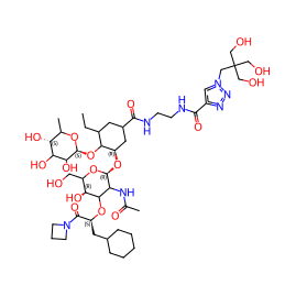 CCC1CC(C(=O)NCCNC(=O)c2cn(CC(CO)(CO)CO)nn2)C[C@@H](O[C@@H]2OC(CO)[C@H](O)C(O[C@@H](CC3CCCCC3)C(=O)N3CCC3)C2NC(C)=O)C1O[C@@H]1OC(C)[C@@H](O)C(O)C1O